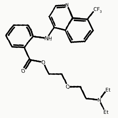 CCN(CC)CCOCCOC(=O)c1ccccc1Nc1ccnc2c(C(F)(F)F)cccc12